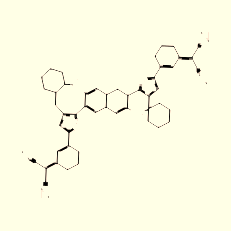 N#CC(C#N)=C1C=C(c2cc3c(s2)C2=CC4C=C5OC6(CCCCC6)c6cc(C7=CC(=C(C#N)C#N)CCC7)sc6C5CC4C=C2OC2CCCCC2C3)CCC1